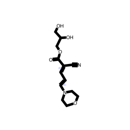 N#C/C(=C\C=C\N1CCOCC1)C(=O)OCC(O)CO